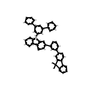 CC1(C)c2ccccc2-c2ccc(-c3cccc(-c4ccc5c6ccccc6n(-c6cc(-c7ccccc7)cc(-c7ccccc7)c6)c5c4)c3)cc21